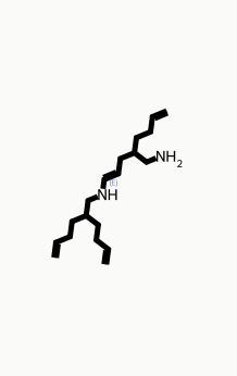 C=CCCC(CN)C/C=C/NCC(CCC=C)CCC=C